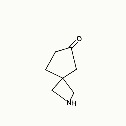 O=C1CCC2(CNC2)C1